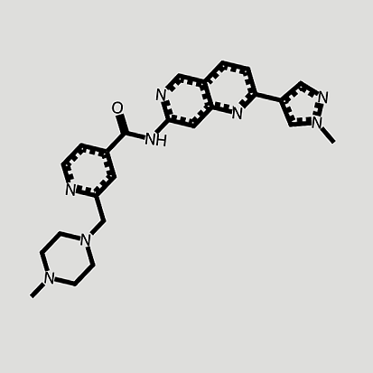 CN1CCN(Cc2cc(C(=O)Nc3cc4nc(-c5cnn(C)c5)ccc4cn3)ccn2)CC1